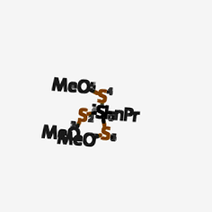 CCC[Si](SOC)(SOC)SOC